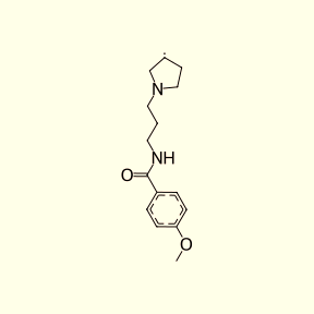 COc1ccc(C(=O)NCCCN2C[CH]CC2)cc1